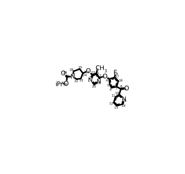 Cc1c(Oc2ccc(C(=O)c3ccccn3)cc2F)ncnc1OC1CCN(C(=O)OC(C)C)CC1